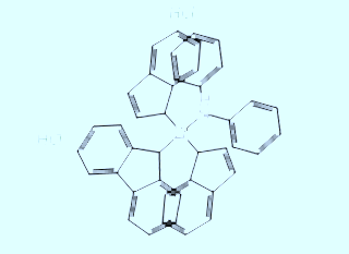 C1=C[CH]([Zr]([CH]2C=Cc3ccccc32)([CH]2c3ccccc3-c3ccccc32)[SiH](c2ccccc2)c2ccccc2)c2ccccc21.Cl.Cl